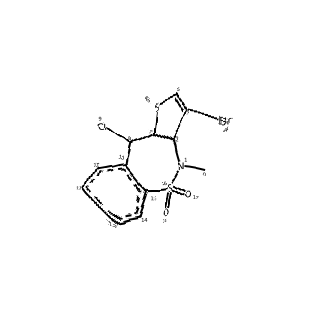 CN1C2C(Br)=CSC2C(Cl)c2ccccc2S1(=O)=O